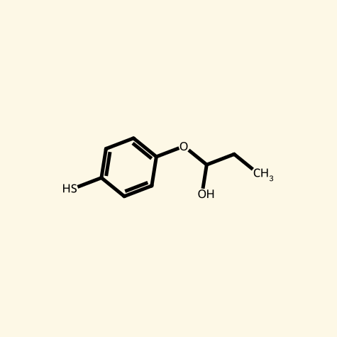 CCC(O)Oc1ccc(S)cc1